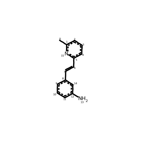 Cc1cccc(C=Cc2cccc(N)c2)n1